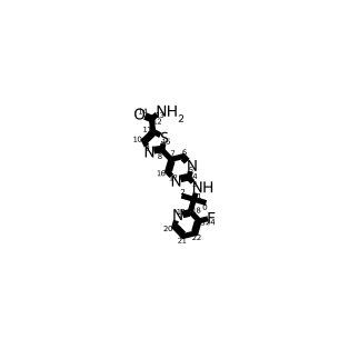 CC(C)(Nc1ncc(-c2ncc(C(N)=O)s2)cn1)c1ncccc1F